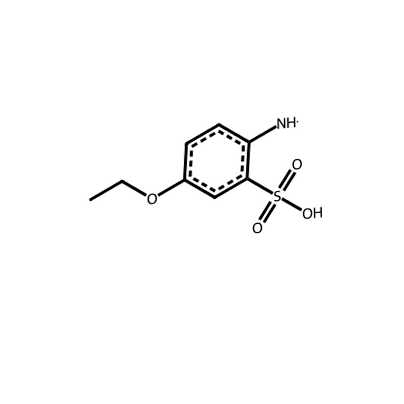 CCOc1ccc([NH])c(S(=O)(=O)O)c1